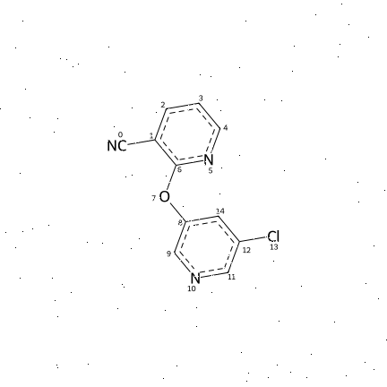 N#Cc1cccnc1Oc1cncc(Cl)c1